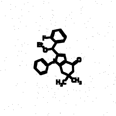 CCOC(c1ccccc1F)c1cc2c(n1-c1ccccc1)CC(C)(C)CC2=O